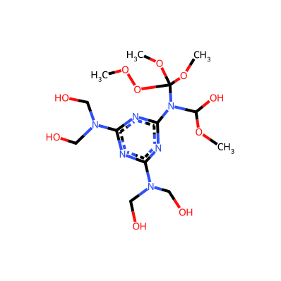 COOC(OC)(OC)N(c1nc(N(CO)CO)nc(N(CO)CO)n1)C(O)OC